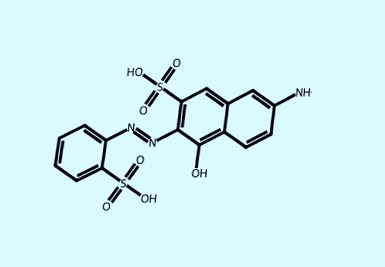 [NH]c1ccc2c(O)c(N=Nc3ccccc3S(=O)(=O)O)c(S(=O)(=O)O)cc2c1